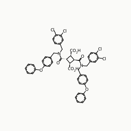 O=C(O)[C@H]1[C@H](C(=O)N(Cc2ccc(Oc3ccccc3)cc2)Cc2ccc(Cl)c(Cl)c2)[C@@H](C(=O)O)[C@H]1C(=O)N(Cc1ccc(Oc2ccccc2)cc1)Cc1ccc(Cl)c(Cl)c1